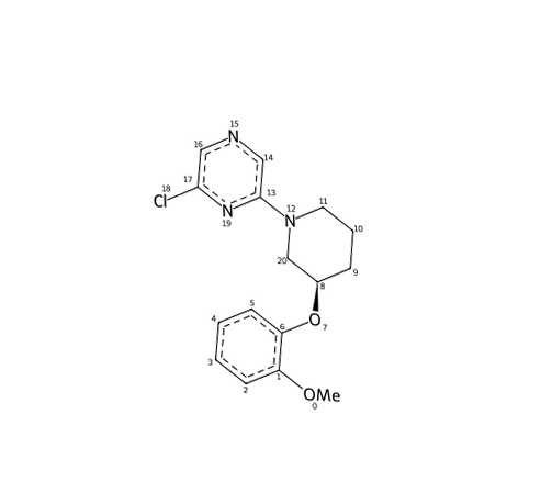 COc1ccccc1O[C@@H]1CCCN(c2cncc(Cl)n2)C1